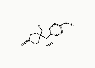 C=C.CCOc1ccc(CC2(CO)CCC(=O)CC2)cc1